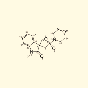 CN1C(=O)C(C)(CS(=O)(=O)N2CCOCC2)c2ccccc21